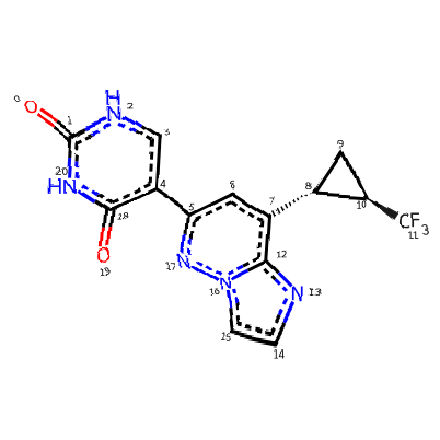 O=c1[nH]cc(-c2cc([C@@H]3C[C@H]3C(F)(F)F)c3nccn3n2)c(=O)[nH]1